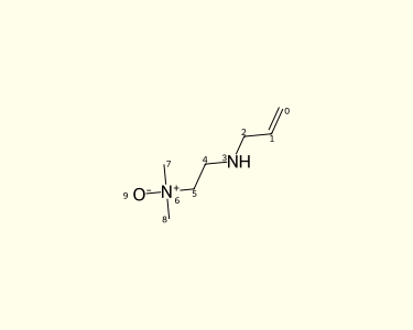 C=CCNCC[N+](C)(C)[O-]